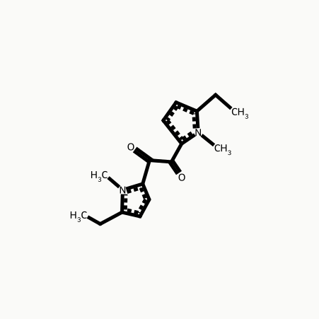 CCc1ccc(C(=O)C(=O)c2ccc(CC)n2C)n1C